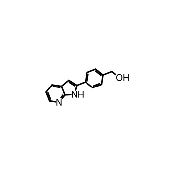 OCc1ccc(-c2cc3cccnc3[nH]2)cc1